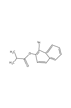 [2H]c1c(OC(=O)C(C)C)ccc2ccccc12